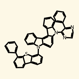 c1ccc(-c2nccnc2-n2c3ccccc3c3c4c5ccccc5n(-c5cccc6c5sc5c(-c7ccccc7)cccc56)c4ccc32)cc1